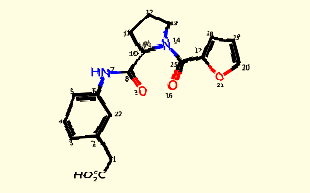 O=C(O)Cc1cccc(NC(=O)[C@H]2CCCN2C(=O)c2ccco2)c1